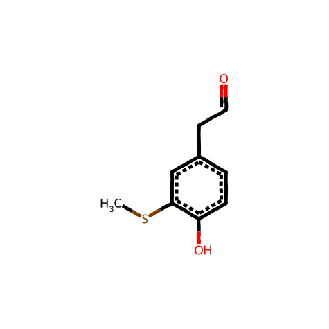 CSc1cc(CC=O)ccc1O